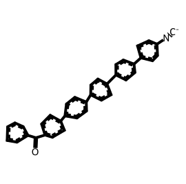 [C-]#[N+]c1ccc(-c2ccc(-c3ccc(-c4ccc(-c5ccc(C(=O)c6ccccc6)cc5)cc4)cc3)cc2)cc1